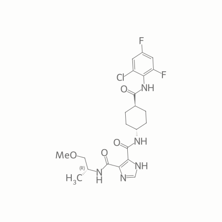 COC[C@@H](C)NC(=O)c1nc[nH]c1C(=O)N[C@H]1CC[C@H](C(=O)Nc2c(F)cc(F)cc2Cl)CC1